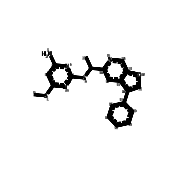 CSc1cc(N)nc(SC(C)c2cc3c(-c4ccccc4)coc3cn2)n1